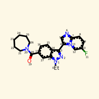 CCn1nc(-c2cnc3ccc(F)cn23)c2ccc(C(=O)N3CCCCCC3)cc21